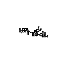 CC(C)(C)OC(=O)NCCCNc1nc2cc(F)c(F)cc2n2c(-c3ccc(C(=O)NC4CC4)c(Cl)c3)cnc12